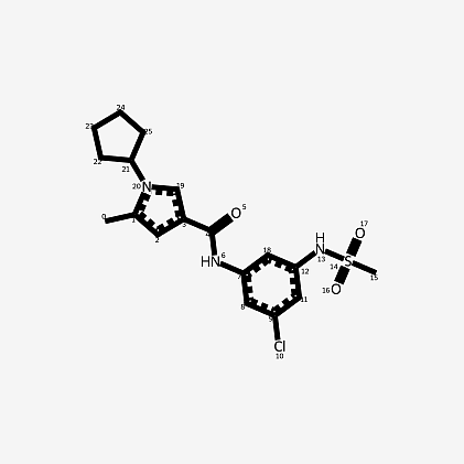 Cc1cc(C(=O)Nc2cc(Cl)cc(NS(C)(=O)=O)c2)cn1C1CCCC1